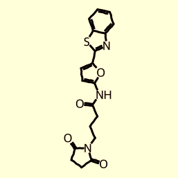 O=C(CCCN1C(=O)CCC1=O)Nc1ccc(-c2nc3ccccc3s2)o1